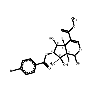 COC(=O)C1=COC(O)[C@H]2[C@@H]1[C@H](O)[C@H](OC(=O)c1ccc(Br)cc1)[C@]2(C)O